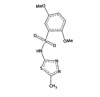 COc1ccc(OC)c(S(=O)(=O)Nc2nnc(C)s2)c1